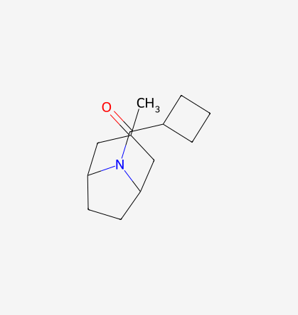 CC1CC2CCC(C1)N2C(=O)C1CCC1